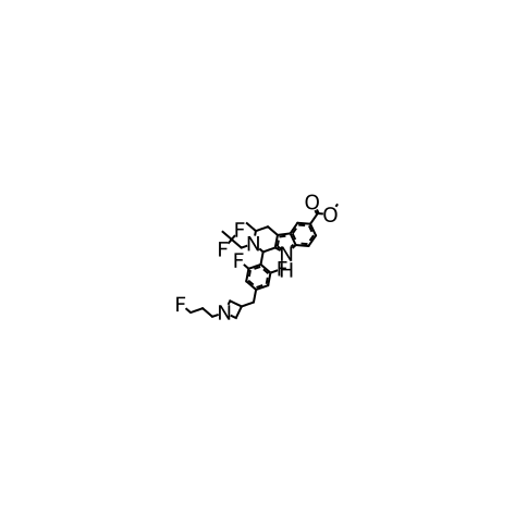 COC(=O)c1ccc2[nH]c3c(c2c1)CC(C)N(CC(C)(F)F)C3c1c(F)cc(CC2CN(CCCF)C2)cc1F